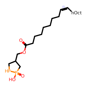 CCCCCCCC/C=C\CCCCCCCC(=O)OCC1CPP(=O)(O)C1